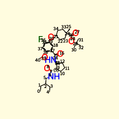 CCC(CC)CNC(=O)[C@H]1CCC[C@H]1NC(=O)c1cc(O[C@H]2CC[C@@](C)(C(=O)OC(C)(C)C)CC2)c(F)cc1OC